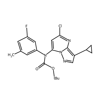 Cc1cc(F)cc(N(C(=O)OC(C)(C)C)c2cc(Cl)nc3c(C4CC4)cnn23)c1